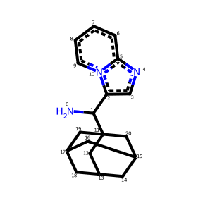 NC(c1cnc2ccccn12)C12CC3CC(CC(C3)C1)C2